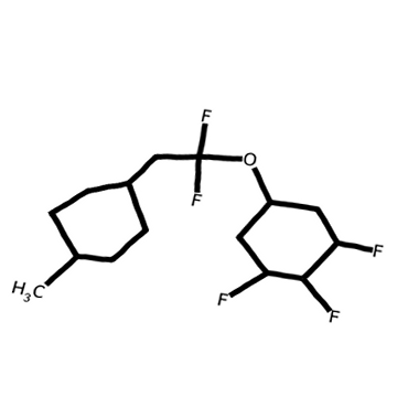 CC1CCC(CC(F)(F)OC2CC(F)C(F)C(F)C2)CC1